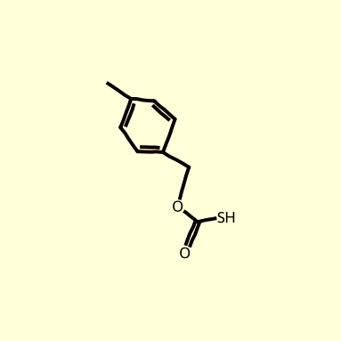 Cc1ccc(COC(=O)S)cc1